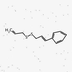 C=CCSSC/C=C/c1ccccc1